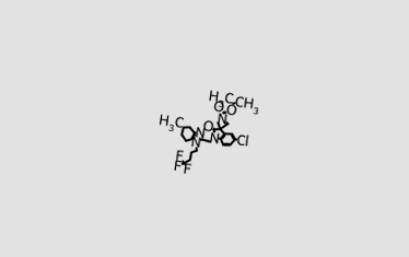 CC1CCc2c(nc(CN3C(=O)C4(CN(C(=O)OC(C)C)C4)c4cc(Cl)ccc43)n2CCCC(F)(F)F)C1